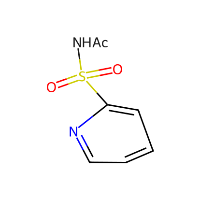 CC(=O)NS(=O)(=O)c1ccccn1